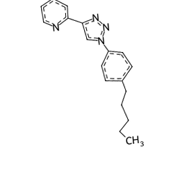 CCCCCc1ccc(-n2cc(-c3ccccn3)nn2)cc1